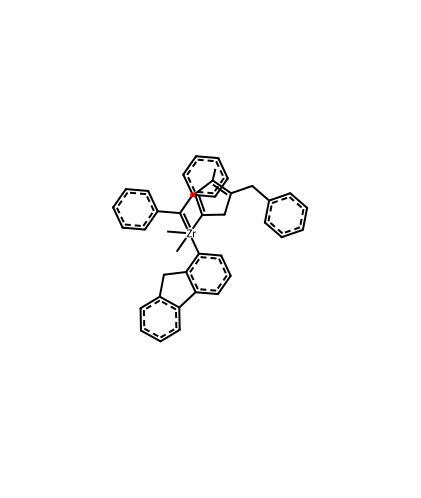 CC1=C(Cc2ccccc2)C[C]([Zr]([CH3])([CH3])(=[C](c2ccccc2)c2ccccc2)[c]2cccc3c2Cc2ccccc2-3)=C1